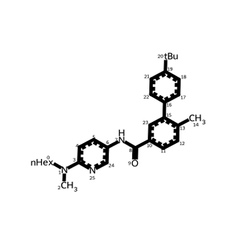 CCCCCCN(C)c1ccc(NC(=O)c2ccc(C)c(-c3ccc(C(C)(C)C)cc3)c2)cn1